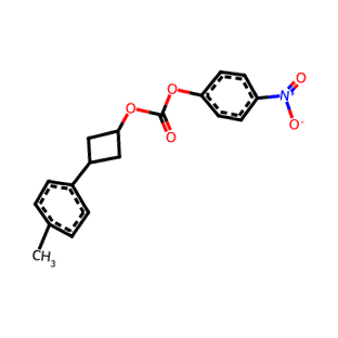 Cc1ccc(C2CC(OC(=O)Oc3ccc([N+](=O)[O-])cc3)C2)cc1